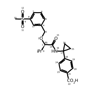 CC(C)[C@@H](OCc1cccc(S(C)(=O)=O)c1)C(=O)NC1(c2ccc(C(=O)O)cc2)CC1